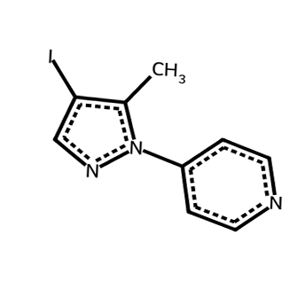 Cc1c(I)cnn1-c1ccncc1